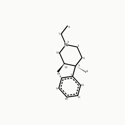 CCN1CC[C@@](C)(c2ccccc2)[C@@H](C)C1